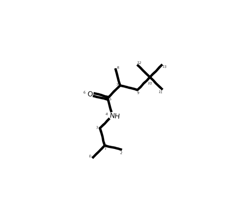 CC(C)CNC(=O)C(C)CC(C)(C)C